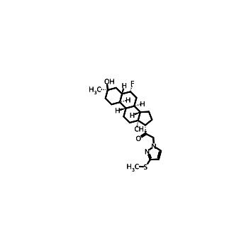 CSc1ccn(CC(=O)[C@H]2CC[C@H]3[C@@H]4C[C@@H](F)[C@H]5C[C@](C)(O)CC[C@@H]5[C@H]4CC[C@]23C)n1